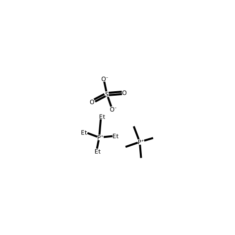 CC[P+](CC)(CC)CC.C[P+](C)(C)C.O=S(=O)([O-])[O-]